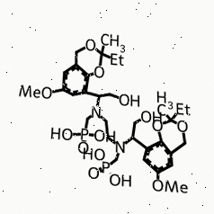 CCC1(C)OCc2cc(OC)cc(C(CO)N(CCN(CP(=O)(O)O)C(CO)c3cc(OC)cc4c3OC(C)(CC)OC4)CP(=O)(O)O)c2O1